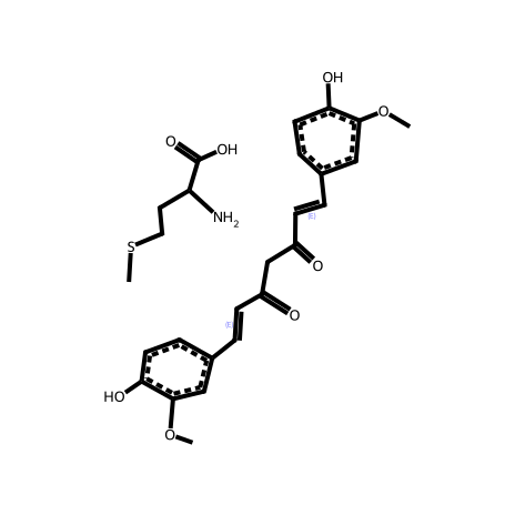 COc1cc(/C=C/C(=O)CC(=O)/C=C/c2ccc(O)c(OC)c2)ccc1O.CSCCC(N)C(=O)O